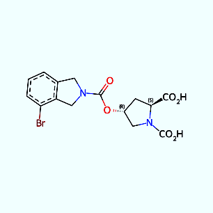 O=C(O)[C@@H]1C[C@@H](OC(=O)N2Cc3cccc(Br)c3C2)CN1C(=O)O